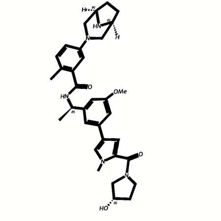 COc1cc(-c2cc(C(=O)N3CC[C@H](O)C3)n(C)c2)cc([C@@H](C)NC(=O)c2cc(N3C[C@H]4CC[C@@H](C3)N4)ccc2C)c1